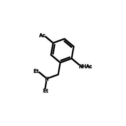 CCN(CC)Cc1cc(C(C)=O)ccc1NC(C)=O